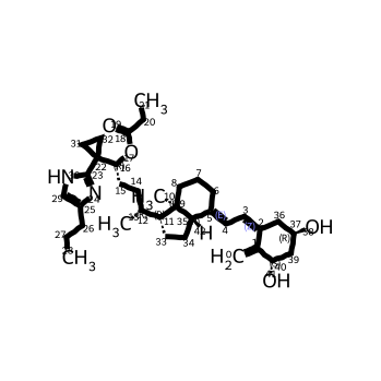 C=C1/C(=C\C=C2/CCC[C@]3(C)[C@@H]([C@H](C)CC[C@@H](OC(=O)CC)C4(c5nc(CCC)c[nH]5)CC4)CC[C@@H]23)C[C@@H](O)C[C@@H]1O